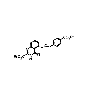 CCOC(=O)c1ccc(COCc2cccc3nc(C(=O)OCC)[nH]c(=O)c23)cc1